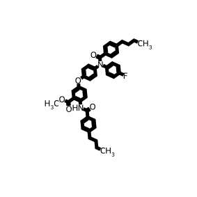 CCCCc1ccc(C(=O)Nc2ccc(Oc3ccc(N(C(=O)c4ccc(CCCC)cc4)c4ccc(F)cc4)cc3)cc2C(=O)OC)cc1